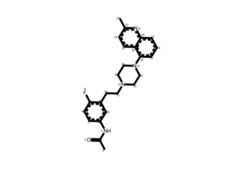 CC(=O)Nc1ccc(F)c(CCN2CCN(c3cccc4nc(C)ccc34)CC2)c1